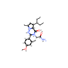 CCC(CC)c1cc(C)n2nc(-c3ccc(OC)cc3C)n(CC(N)=O)c(=O)c12